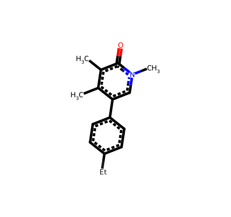 CCc1ccc(-c2cn(C)c(=O)c(C)c2C)cc1